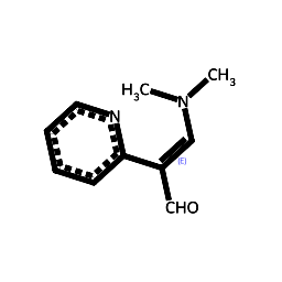 CN(C)/C=C(/C=O)c1ccccn1